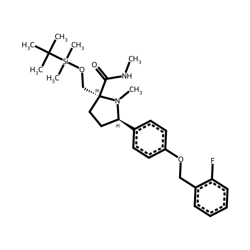 CNC(=O)[C@]1(CO[Si](C)(C)C(C)(C)C)CC[C@H](c2ccc(OCc3ccccc3F)cc2)N1C